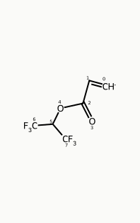 [CH]=CC(=O)OC(C(F)(F)F)C(F)(F)F